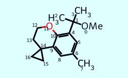 COC(C)(C)c1cc(C)cc2c1OCCC21CC1